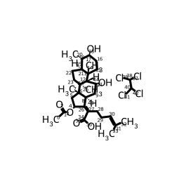 CC(=O)O[C@H]1C[C@@]2(C)[C@@H](C[C@@H](O)[C@H]3[C@@]4(C)CC[C@@H](O)[C@@H](C)[C@@H]4CC[C@@]32C)/C1=C(\CCC=C(C)C)C(=O)O.ClC(Cl)C(Cl)Cl